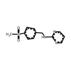 CS(=O)(=O)c1ccc(CNc2ncccn2)cc1